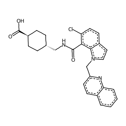 O=C(NC[C@H]1CC[C@H](C(=O)O)CC1)c1c(Cl)ccc2ccn(Cc3ccc4ccccc4n3)c12